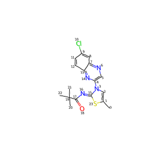 Cc1cn(-c2cnc3cc(Cl)ccc3n2)c(=NC(=O)C(C)(C)C)s1